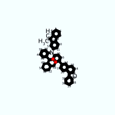 CC1(C)c2ccccc2-c2ccc(N(c3ccc(-c4ccc5c(ccc6oc7ccccc7c65)c4)cc3)c3ccccc3C3=CCCC4=C3CCC=C4)cc21